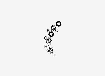 COC(=S)NC[C@H]1CN(c2ccc(N3CCN(c4ccccc4)C3=O)c(F)c2)C(=O)O1